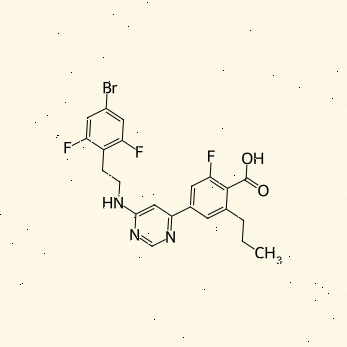 CCCc1cc(-c2cc(NCCc3c(F)cc(Br)cc3F)ncn2)cc(F)c1C(=O)O